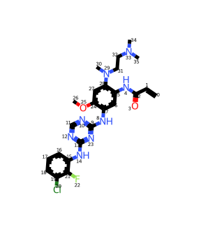 C=CC(=O)Nc1cc(Nc2ncnc(Nc3cccc(Cl)c3F)n2)c(OC)cc1N(C)CCN(C)C